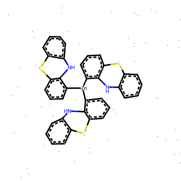 c1ccc2c(c1)Nc1c(ccc[c]1[Zn]([c]1cccc3c1Nc1ccccc1S3)[c]1cccc3c1Nc1ccccc1S3)S2